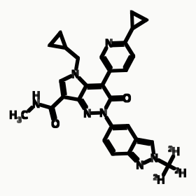 [2H]C([2H])([2H])n1cc2cc(-n3nc4c(C(=O)NC)cn(CC5CC5)c4c(-c4ccc(C5CC5)nc4)c3=O)ccc2n1